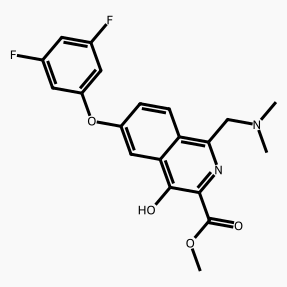 COC(=O)c1nc(CN(C)C)c2ccc(Oc3cc(F)cc(F)c3)cc2c1O